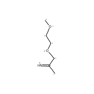 COCCOCC(C)=N